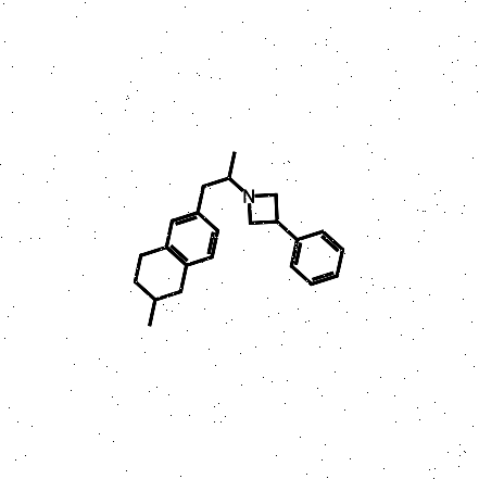 CC1CCc2cc(CC(C)N3CC(c4ccccc4)C3)ccc2C1